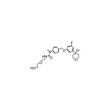 COC1(c2cc(F)cc(OCc3ccc(N(C)C(=O)NCCOCCO)cc3)c2)CCOCC1